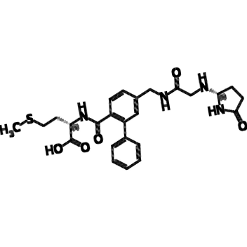 CSCC[C@H](NC(=O)c1ccc(CNC(=O)CN[C@@H]2CCC(=O)N2)cc1-c1ccccc1)C(=O)O